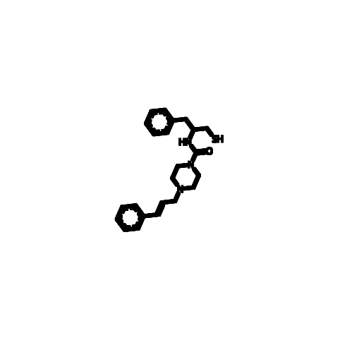 O=C(NC(CS)Cc1ccccc1)N1CCN(CC=Cc2ccccc2)CC1